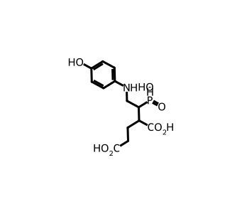 O=C(O)CCC(C(=O)O)C(CNc1ccc(O)cc1)[PH](=O)O